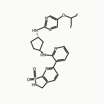 O=S1(=O)NCc2ccc(-c3cccnc3N[C@H]3CC[C@H](Nc4ncc(OC(F)F)cn4)C3)nc21